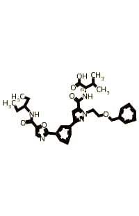 CCC(CC)NC(=O)c1cnc(-c2cccc(-c3cc(C(=O)N[C@H](C(=O)O)C(C)C)n(CCOCc4ccccc4)n3)c2)o1